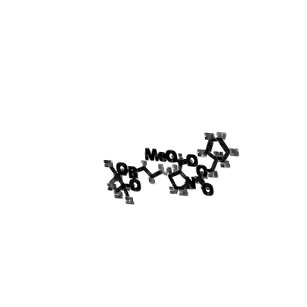 COC(=O)[C@@H]1[C@@H](CCCB2OC(C)(C)C(C)(C)O2)CCN1C(=O)OCc1ccccc1